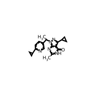 Cc1nc2c(c(C3CC3)nn2C(C)c2ccc(C3CC3)nc2)c(=O)[nH]1